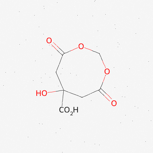 O=C1CC(O)(C(=O)O)CC(=O)OCO1